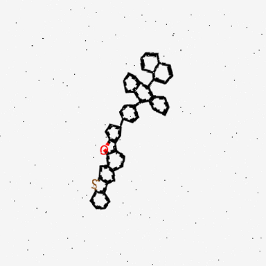 C1=CC2C=CC=C(c3c4ccccc4c(-c4ccc(-c5ccc6oc7c8cc9sc%10ccccc%10c9cc8ccc7c6c5)cc4)c4ccccc34)C2C=C1